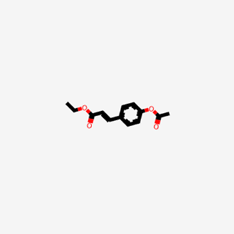 CCOC(=O)C=Cc1ccc(OC(C)=O)cc1